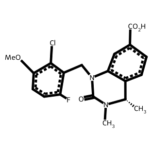 COc1ccc(F)c(CN2C(=O)N(C)[C@@H](C)c3ccc(C(=O)O)cc32)c1Cl